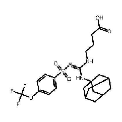 O=C(O)CCCN/C(=N/S(=O)(=O)c1ccc(OC(F)(F)F)cc1)NC12CC3CC(CC(C3)C1)C2